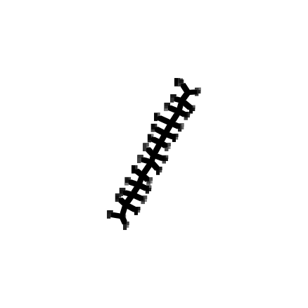 CCC(F)C(F)(F)C(F)(F)C(F)(F)C(F)(F)C(F)(F)C(F)(F)C(F)(F)C(F)(F)C(F)(F)C(F)(F)C(F)(F)[C](F)F